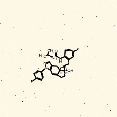 CC(C)NC(=O)Nc1ccc(F)cc1CC[C@]1(O)CCC2=Cc3c(cnn3-c3ccc(F)cc3)C[C@@]21C